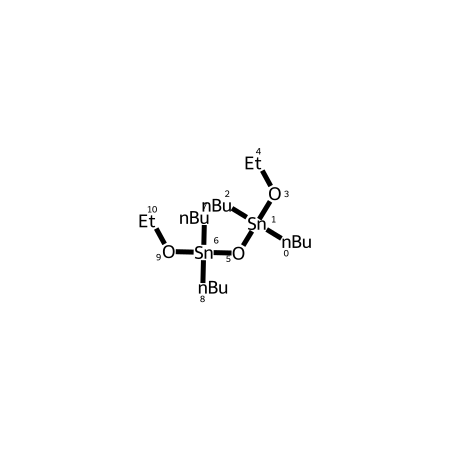 CCC[CH2][Sn]([CH2]CCC)([O]CC)[O][Sn]([CH2]CCC)([CH2]CCC)[O]CC